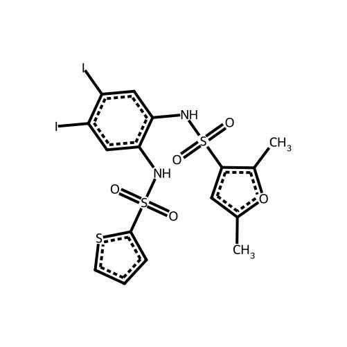 Cc1cc(S(=O)(=O)Nc2cc(I)c(I)cc2NS(=O)(=O)c2cccs2)c(C)o1